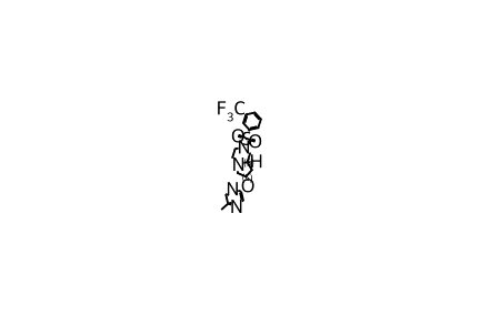 Cc1cnc(O[C@H]2C[C@H]3CN(S(=O)(=O)c4cccc(C(F)(F)F)c4)CCN3C2)cn1